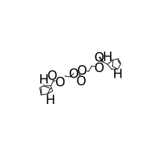 O=C(OCCOC(=O)C1C[C@H]2C=C[C@@H]1C2)OCCOC(=O)C1C[C@@H]2C=C[C@H]1C2